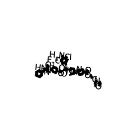 Nc1c(Cl)cc(C[C@@H](OC(=O)N2CCC(n3nc(-c4ccccc4)[nH]c3=O)CC2)C(=O)N2CCN(c3ccc(C(=O)OCCCN4CCOCC4)cn3)CC2)cc1C(F)(F)F